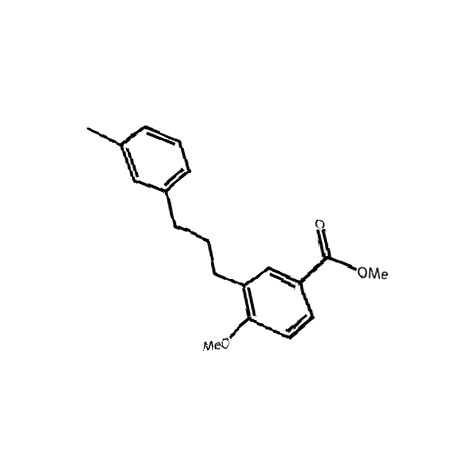 COC(=O)c1ccc(OC)c(CCCc2cccc(C)c2)c1